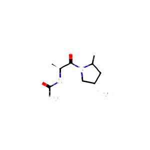 COC(=O)N[C@H](C(=O)N1C[C@@H](OC)CC1C(C)C)C(C)C